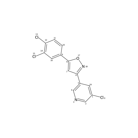 Clc1cncc(-c2cc(-c3ccc(Cl)c(Cl)c3)on2)c1